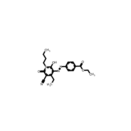 CCCCn1c(O)c(/N=N/c2ccc(C(=O)OCC)cc2)c(CC)c(C#N)c1=O